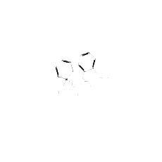 CC1(C)C=CC=CC1.Cc1ccccc1C